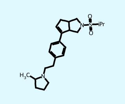 CC1CCCN1CCc1ccc(C2=CCC3CN(S(=O)(=O)C(C)C)CC23)cc1